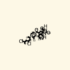 C=C(/C=C(Cl)\C=C(/C)Cl)N1CCN(C(=O)CCC2(c3cccnc3)NC(=O)NC2=O)CC1C